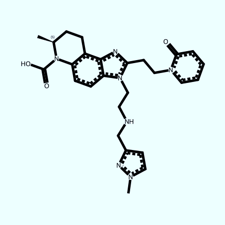 C[C@H]1CCc2c(ccc3c2nc(CCn2ccccc2=O)n3CCNCc2ccn(C)n2)N1C(=O)O